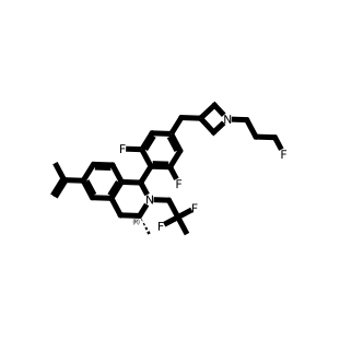 C=C(C)c1ccc2c(c1)C[C@@H](C)N(CC(C)(F)F)C2c1c(F)cc(CC2CN(CCCF)C2)cc1F